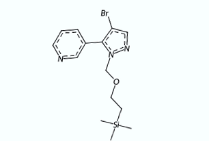 C[Si](C)(C)CCOCn1ncc(Br)c1-c1cccnc1